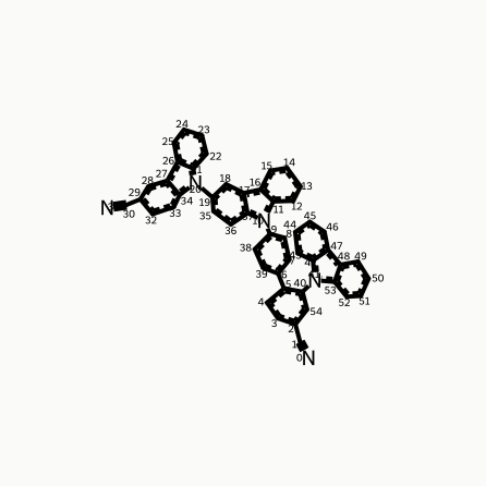 N#Cc1ccc(-c2ccc(-n3c4ccccc4c4cc(-n5c6ccccc6c6cc(C#N)ccc65)ccc43)cc2)c(-n2c3ccccc3c3ccccc32)c1